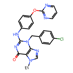 CCn1cnc2c1c(=O)nc(Nc1ccc(Oc3ncccn3)cc1)n2Cc1ccc(Cl)cc1